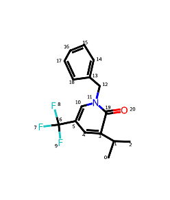 CC(C)c1cc(C(F)(F)F)cn(Cc2ccccc2)c1=O